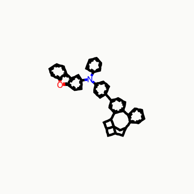 c1ccc(N(c2ccc(-c3ccc4c(c3)C3CC5CC6CC(CC653)c3ccccc3-4)cc2)c2ccc3oc4ccccc4c3c2)cc1